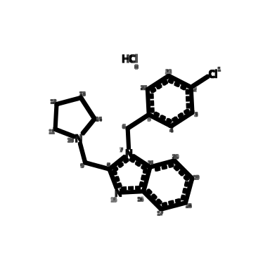 Cl.Clc1ccc(Cn2c(CN3CCCC3)nc3ccccc32)cc1